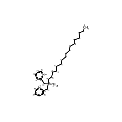 CCCCCCCCCCCCCCCCCC(N)(Cc1ccccn1)Cc1ccccn1